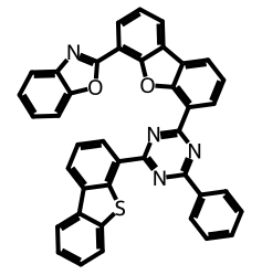 c1ccc(-c2nc(-c3cccc4c3oc3c(-c5nc6ccccc6o5)cccc34)nc(-c3cccc4c3sc3ccccc34)n2)cc1